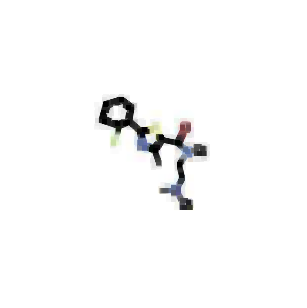 CCN(C)CCN(CC)C(=O)c1sc(-c2ccccc2F)nc1C